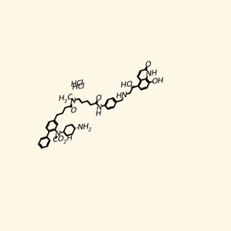 CN(CCCCC(=O)Nc1ccc(CNC[C@H](O)c2ccc(O)c3[nH]c(=O)ccc23)cc1)C(=O)CCCc1ccc(-c2ccccc2)c(N(C(=O)O)[C@H]2CC[C@H](N)CC2)c1.Cl.Cl